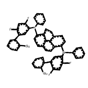 CC(C)(C)c1ccccc1-c1cc(N(c2ccccc2)c2ccc3ccc4c(N(c5ccccc5)c5cc(-c6ccccc6C(C)(C)C)c(F)cc5F)ccc5ccc2c3c54)c(F)cc1F